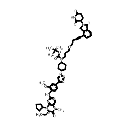 CC[C@@H]1C(=O)N(C)c2cnc(Nc3ccc(-c4cn([C@H]5CC[C@@H](N(CCCOCCC#Cc6cccc7c6CN(C6CCC(=O)NC6=O)C7=O)C(=O)OC(C)(C)C)CC5)nn4)cc3OC)nc2N1C1CCCC1